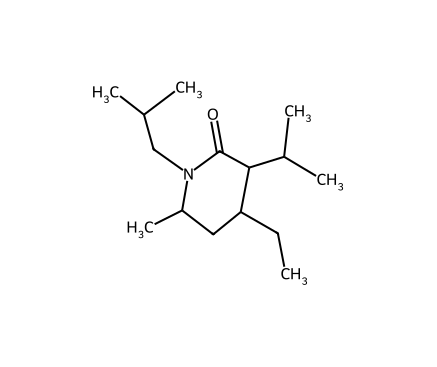 CCC1CC(C)N(CC(C)C)C(=O)C1C(C)C